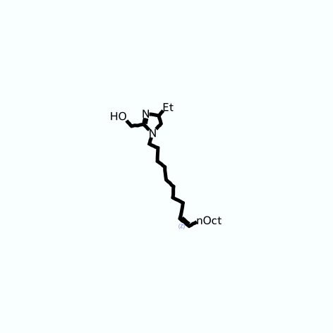 CCCCCCCC/C=C\CCCCCCCCN1CC(CC)N=C1CO